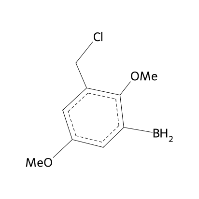 Bc1cc(OC)cc(CCl)c1OC